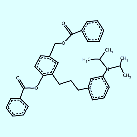 CC(C)N(c1cccc(CCCc2cc(COC(=O)c3ccccc3)ccc2OC(=O)c2ccccc2)c1)C(C)C